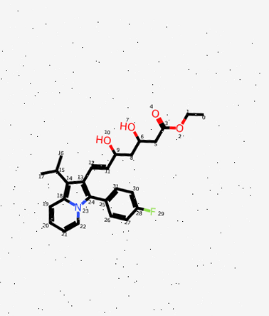 CCOC(=O)CC(O)CC(O)C=Cc1c(C(C)C)c2ccccn2c1-c1ccc(F)cc1